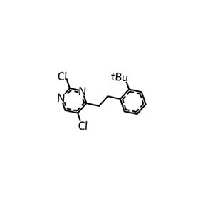 CC(C)(C)c1ccccc1CCc1nc(Cl)ncc1Cl